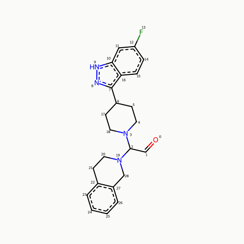 O=CC(N1CCC(c2n[nH]c3cc(F)ccc23)CC1)N1CCc2ccccc2C1